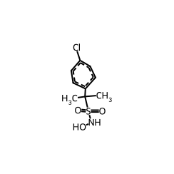 CC(C)(c1ccc(Cl)cc1)S(=O)(=O)NO